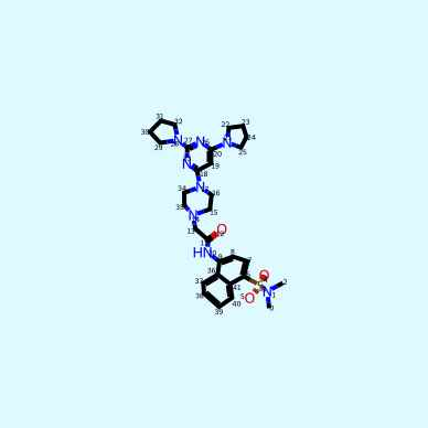 CN(C)S(=O)(=O)c1ccc(NC(=O)CN2CCN(c3cc(N4CCCC4)nc(N4CCCC4)n3)CC2)c2ccccc12